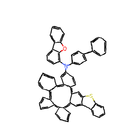 c1ccc(-c2ccc(N(c3ccc4c(c3)c3ccccc3c3ccccc3c3ccccc3c3cc5c(cc43)sc3ccccc35)c3cccc4c3oc3ccccc34)cc2)cc1